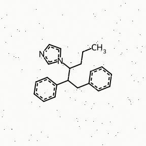 CCCC(C(Cc1ccccc1)c1ccccc1)n1ccnc1